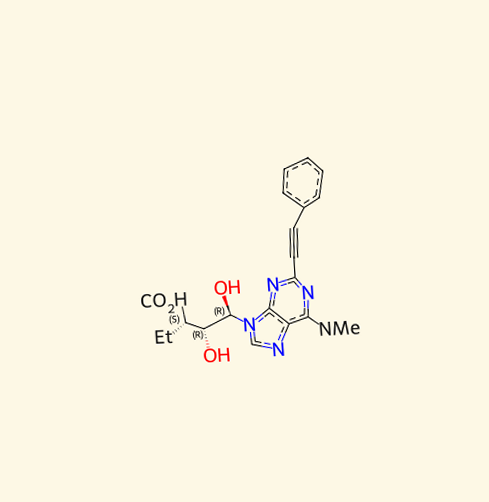 CC[C@H](C(=O)O)[C@@H](O)[C@@H](O)n1cnc2c(NC)nc(C#Cc3ccccc3)nc21